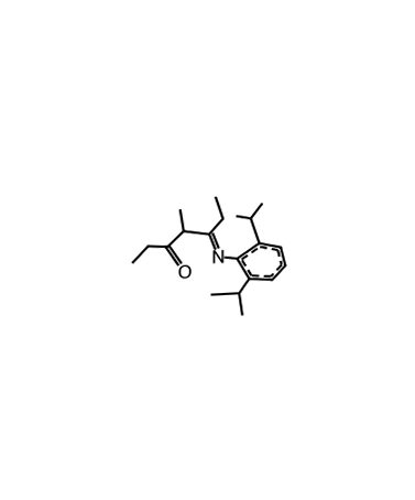 CCC(=O)C(C)C(CC)=Nc1c(C(C)C)cccc1C(C)C